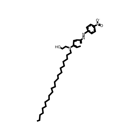 C=C(/C=C\C(=C/C)N(CCO)CCCCCCCCCCCCCCCCCCCCCC)/N=N/c1ccc([N+](=O)[O-])cc1